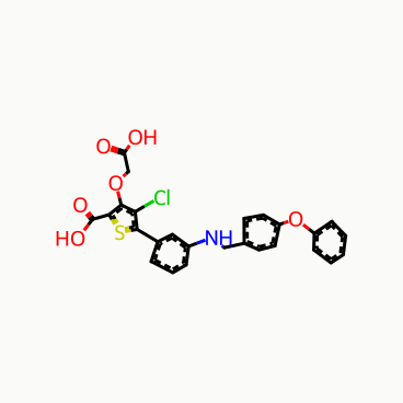 O=C(O)COc1c(C(=O)O)sc(-c2cccc(NCc3ccc(Oc4ccccc4)cc3)c2)c1Cl